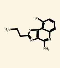 CCCc1nc2c(N)nc3cccc(Br)c3c2s1